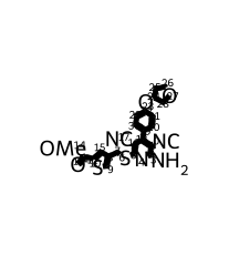 [C-]#[N+]c1c(N)nc(SCc2csc(C(=O)OC)c2)c(C#N)c1-c1ccc(OC2CCOC2)cc1